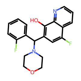 Oc1c(C(c2ccccc2F)N2CCOCC2)cc(F)c2cccnc12